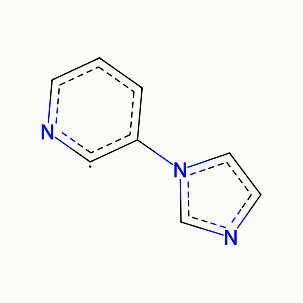 [c]1ncccc1-n1ccnc1